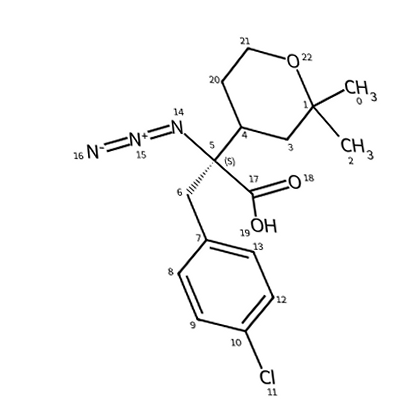 CC1(C)CC([C@](Cc2ccc(Cl)cc2)(N=[N+]=[N-])C(=O)O)CCO1